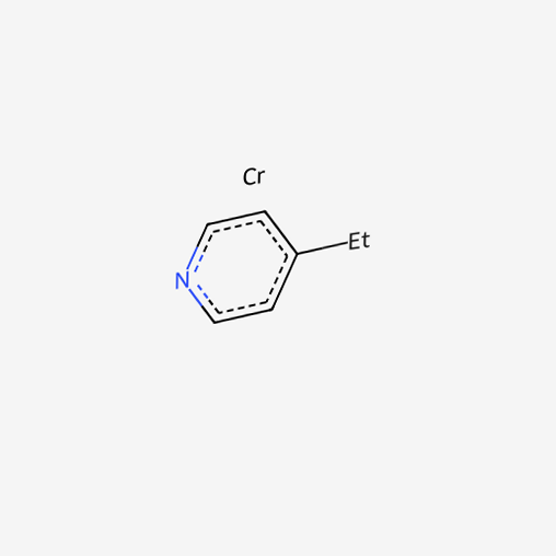 CCc1ccncc1.[Cr]